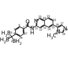 BC(B)(B)c1ccc(C(=O)Nc2cc3cc(-c4cncn4C)ccc3cn2)cc1